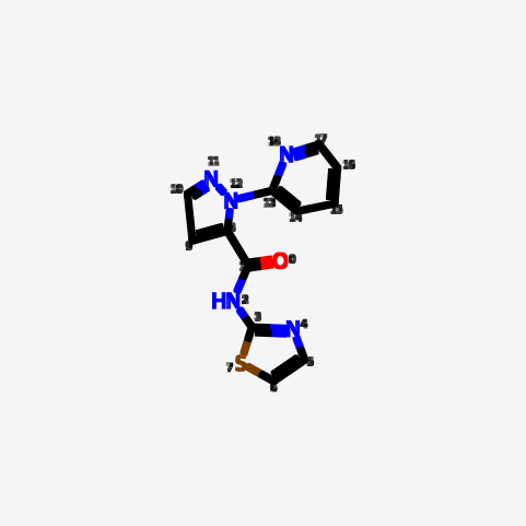 O=C(Nc1nccs1)c1ccnn1-c1ccccn1